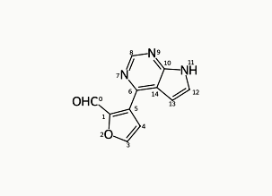 O=Cc1occc1-c1ncnc2[nH]ccc12